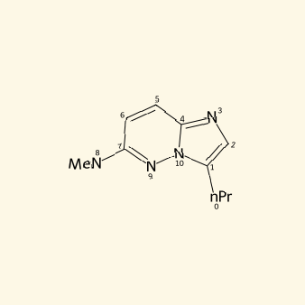 CCCc1cnc2ccc(NC)nn12